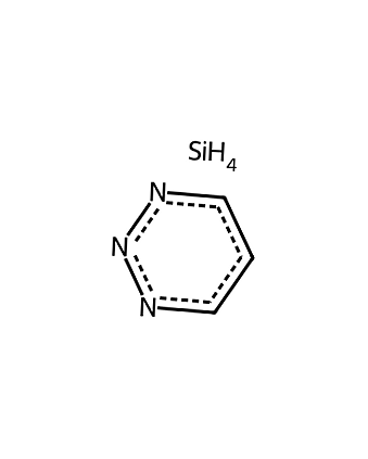 [SiH4].c1cnnnc1